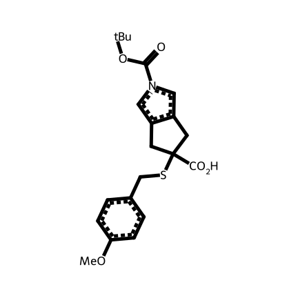 COc1ccc(CSC2(C(=O)O)Cc3cn(C(=O)OC(C)(C)C)cc3C2)cc1